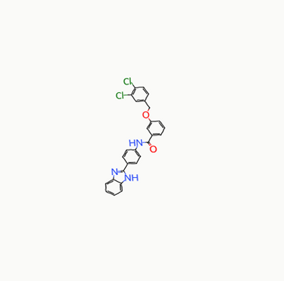 O=C(Nc1ccc(-c2nc3ccccc3[nH]2)cc1)c1cccc(OCc2ccc(Cl)c(Cl)c2)c1